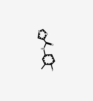 Cc1cc(NC(=O)c2cncs2)ccc1F